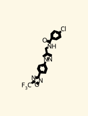 O=C(NCc1cnn(-c2ccc(-c3noc(C(F)(F)F)n3)cc2)c1)c1ccc(Cl)cc1